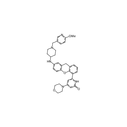 COc1ccc(CN2CCC(Nc3ccc4c(c3)Cc3cccc(-c5cc(N6CCOCC6)cc(=O)[nH]5)c3O4)CC2)cn1